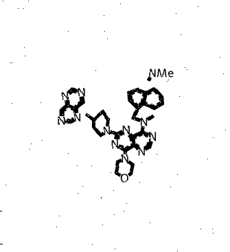 CC1CCN(c2nc(N3CCOCC3)c3ncnc(N(C)Cc4cccc5ccccc45)c3n2)CC1.CNC.c1ncc2ncncc2n1